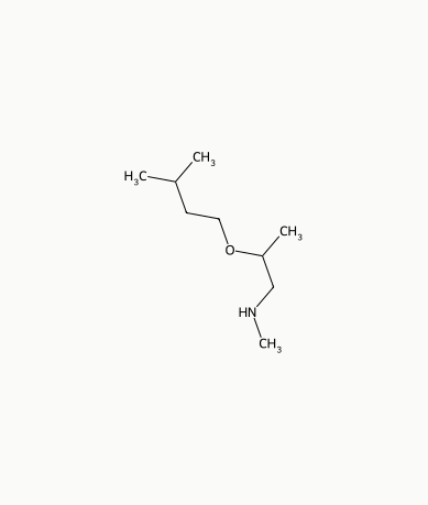 CNCC(C)OCCC(C)C